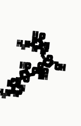 Nc1nc2c(ncn2C[C@@H]2O[C@H](CO)C[C@@H]2OP(=O)(S)OC[C@H]2O[C@@H](n3cnc4c(N)ncnc43)C[C@H]2O)c(=O)[nH]1